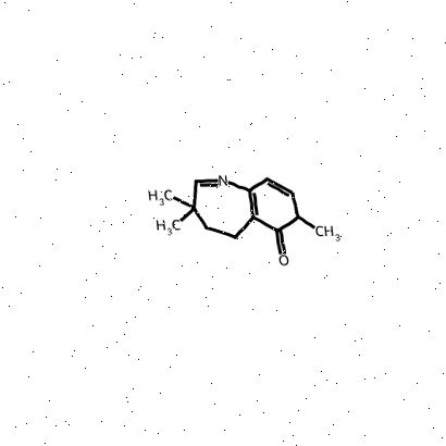 CC1C=CC2=C(CCC(C)(C)C=N2)C1=O